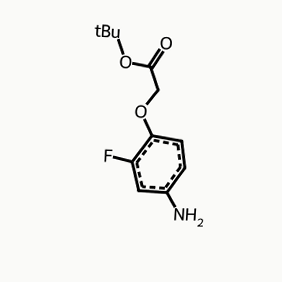 CC(C)(C)OC(=O)COc1ccc(N)cc1F